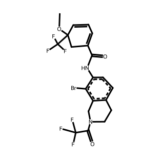 COC1(C(F)(F)F)C=CC=C(C(=O)Nc2ccc3c(c2Br)CN(C(=O)C(F)(F)F)CC3)C1